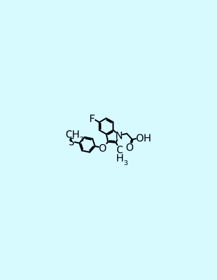 CSc1ccc(Oc2c(C)n(CC(=O)O)c3ccc(F)cc23)cc1